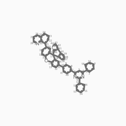 c1ccc(-c2cc(-c3ccc(-c4ccc5c(c4)C4(c6cc(-c7cccc8cccnc78)ccc6O5)c5ccccc5-c5ccccc54)cc3)nc(-c3ccccc3)n2)cc1